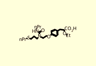 CCCNC(=O)N(CCCSCCC)CCOc1ccc(CC(OCC)C(=O)O)cc1